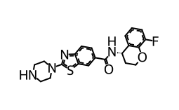 O=C(N[C@H]1CCOc2c(F)cccc21)c1ccc2nc(N3CCNCC3)sc2c1